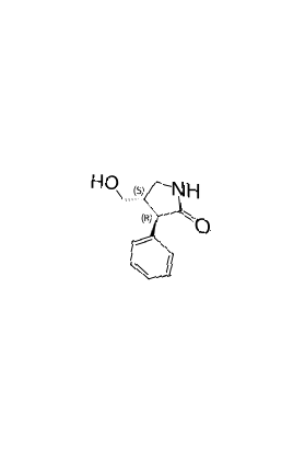 O=C1NC[C@@H](CO)[C@@H]1c1ccccc1